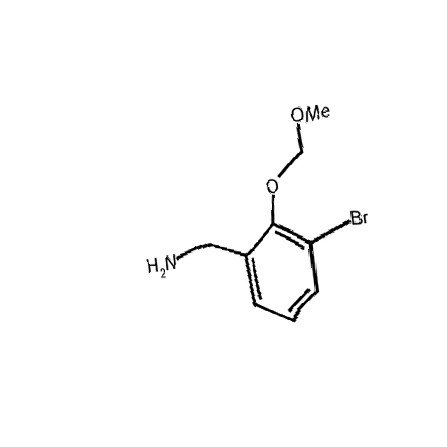 COCOc1c(Br)cccc1CN